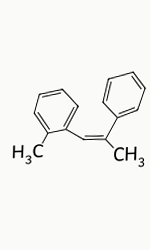 CC(=Cc1ccccc1C)c1ccccc1